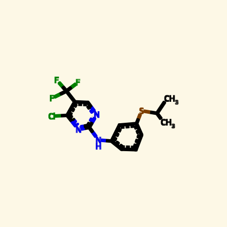 CC(C)Sc1cccc(Nc2ncc(C(F)(F)F)c(Cl)n2)c1